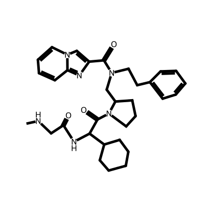 CNCC(=O)NC(C(=O)N1CCCC1CN(CCc1ccccc1)C(=O)c1cn2ccccc2n1)C1CCCCC1